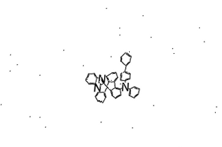 c1ccc(-c2ccc(N(c3ccccc3)c3cccc4c3-c3ccccc3C43c4ccccc4-n4c3nc3ccccc34)cc2)cc1